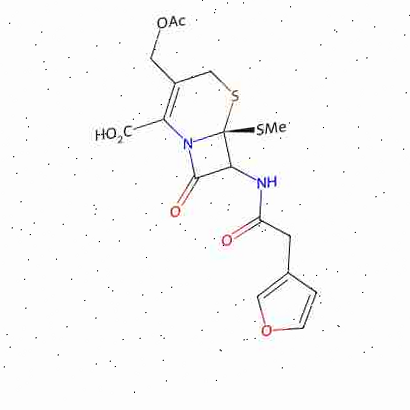 CS[C@]12SCC(COC(C)=O)=C(C(=O)O)N1C(=O)C2NC(=O)Cc1ccoc1